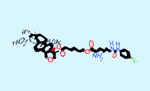 CC(=O)O[C@@H]1C[C@@]23COC[C@](C)([C@@H]2CC[C@H]2C3=CC[C@@]3(C)[C@H](C(=O)O)[C@@](C)([C@H](C)C(C)C)CC[C@]23C)[C@H]1OC(=O)CCCCCOC(=O)C(N)CCCCNC(=O)Nc1ccc(F)cc1